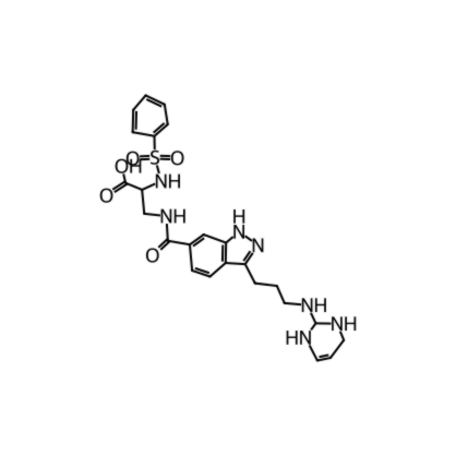 O=C(NCC(NS(=O)(=O)c1ccccc1)C(=O)O)c1ccc2c(CCCNC3NC=CCN3)n[nH]c2c1